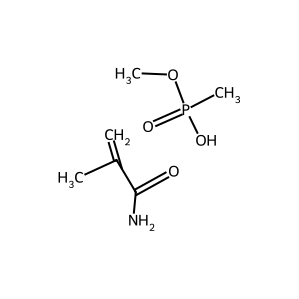 C=C(C)C(N)=O.COP(C)(=O)O